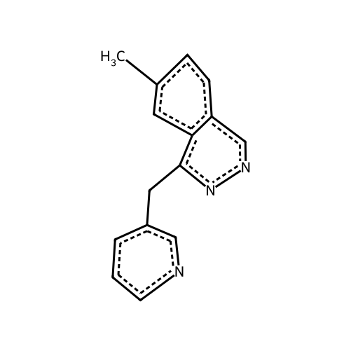 Cc1ccc2cnnc(Cc3cccnc3)c2c1